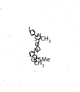 CSC(=Cc1ccccc1N1CCCC(OCc2sc(-c3ccc(I)cc3)nc2C)C1)[S+](C)[O-]